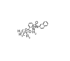 CC(C)(C)OC(=O)c1cccc(C(=O)Nc2ccc3ccccc3c2)c1N